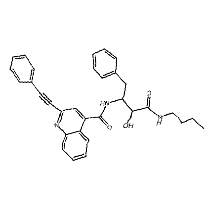 CCCCNC(=O)C(O)C(Cc1ccccc1)NC(=O)c1cc(C#Cc2ccccc2)nc2ccccc12